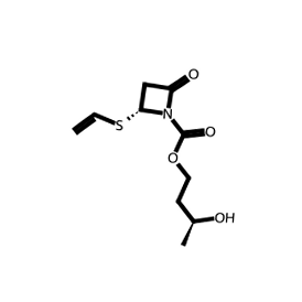 C=CS[C@@H]1CC(=O)N1C(=O)OCC[C@H](C)O